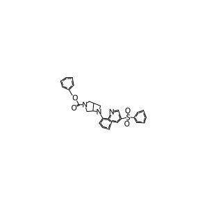 O=C(OCc1ccccc1)N1CC2CN(c3cccc4cc(S(=O)(=O)c5ccccc5)cnc34)C2C1